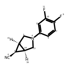 N#C[C@H]1[C@H]2CN(c3ccc(F)c(F)c3)C[C@@H]12